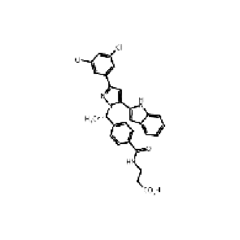 C[C@@H](c1ccc(C(=O)NCCC(=O)O)cc1)n1nc(-c2cc(Cl)cc(Cl)c2)cc1-c1cc2ccccc2[nH]1